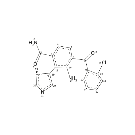 NC(=O)c1ccc(C(=O)c2ccccc2Cl)c(N)c1-c1cncs1